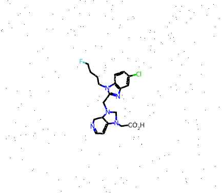 O=C(O)CN1CN(Cc2nc3cc(Cl)ccc3n2CCCCF)C2CN=CC=C21